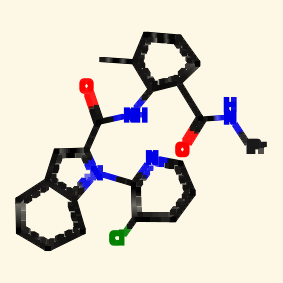 Cc1cccc(C(=O)NC(C)C)c1NC(=O)c1cc2ccccc2n1-c1ncccc1Cl